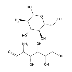 NC(C=O)C(O)C(O)C(O)CO.N[C@H]1C(O)O[C@H](CO)[C@@H](O)[C@@H]1O